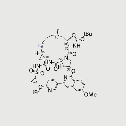 COc1ccc2c(O[C@@H]3C[C@H]4C(=O)N[C@]5(C(=O)NS(=O)(=O)C6CC6)C[C@H]5/C=C\CC[C@@H](C)C[C@@H](C)[C@H](NC(=O)OC(C)(C)C)C(=O)N4C3)nc(-c3ccc(OC(C)C)nc3)cc2c1